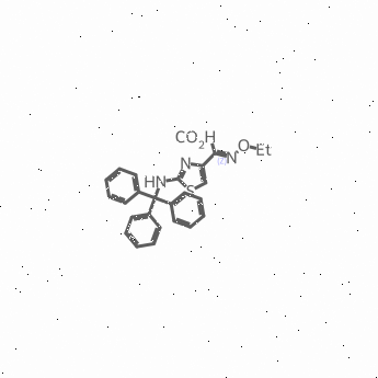 CCO/N=C(\C(=O)O)c1csc(NC(c2ccccc2)(c2ccccc2)c2ccccc2)n1